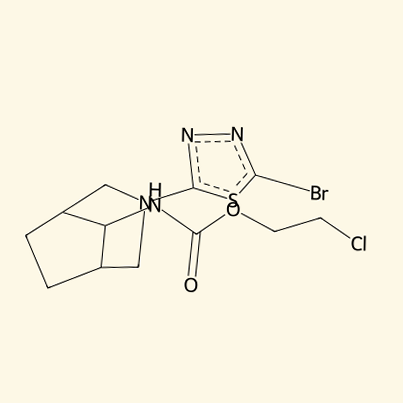 O=C(NC1C2CCC1CN(c1nnc(Br)s1)C2)OCCCl